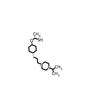 CC(C)N1CCN(CCC[C@H]2CC[C@H](O[C@H](C)S)CC2)CC1